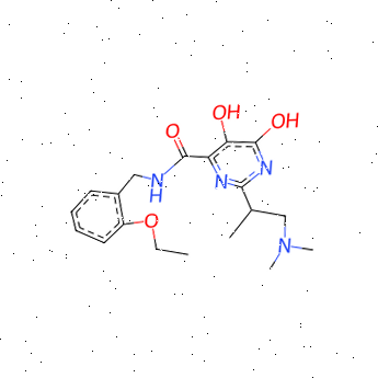 CCOc1ccccc1CNC(=O)c1nc(C(C)CN(C)C)nc(O)c1O